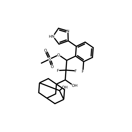 CS(=O)(=O)OC(c1c(F)cccc1-c1c[nH]cn1)C(F)(F)C(O)C12CC3CC(C1)C(O)C(C3)C2